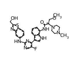 COC[C@H](C(=O)Nc1cccc2c(-c3nc(Nc4ccc5sc(CO)nc5c4)ncc3F)c[nH]c12)N1CCN(C)CC1